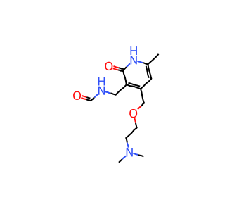 Cc1cc(COCCN(C)C)c(CNC=O)c(=O)[nH]1